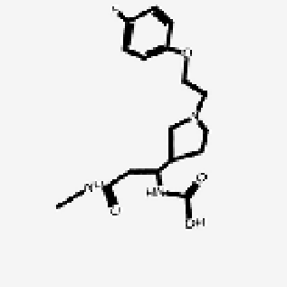 CNC(=O)CC(NC(=O)O)C1CCN(CCOc2ccc(F)cc2)C1